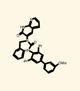 COc1cccc(-c2cc(C(C)C)c(NC(=O)N(Cc3ccccc3)c3cc4cccnc4[nH]c3=O)c(C(C)C)c2)c1